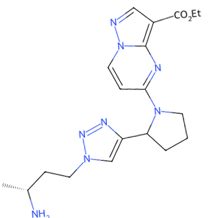 CCOC(=O)c1cnn2ccc(N3CCCC3c3cn(CC[C@@H](C)N)nn3)nc12